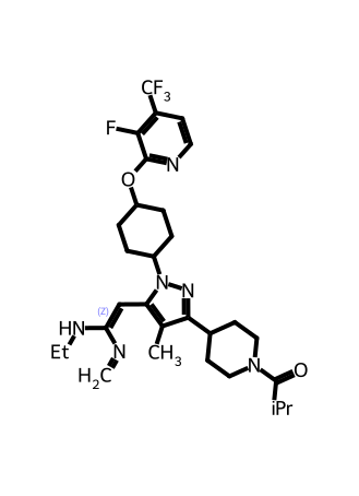 C=N/C(=C\c1c(C)c(C2CCN(C(=O)C(C)C)CC2)nn1C1CCC(Oc2nccc(C(F)(F)F)c2F)CC1)NCC